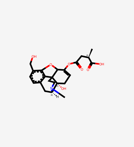 C[C@H](CC(=O)OC1=CC[C@@]2(O)[C@H]3Cc4ccc(CO)c5c4C2(CCN3C)C1O5)C(=O)O